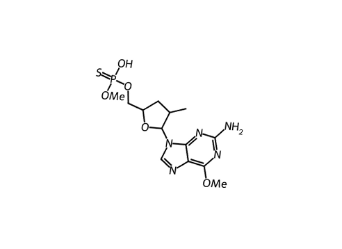 COc1nc(N)nc2c1ncn2C1OC(COP(O)(=S)OC)CC1C